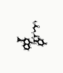 COC(=O)CCSc1nc(Nc2ccc(C3CC3)c3ccccc23)c2ccc(F)cc2n1